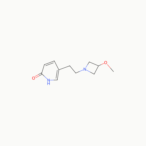 COC1CN(CCc2ccc(=O)[nH]c2)C1